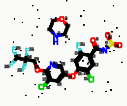 C1COCCN1.O=C(N=S(=O)=O)c1cc(Cl)c(Oc2cnc(OCC(F)(F)C(F)F)c(Cl)c2)cc1F